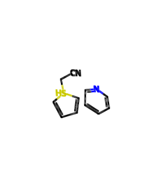 N#CC[SH]1C=CC=C1.c1ccncc1